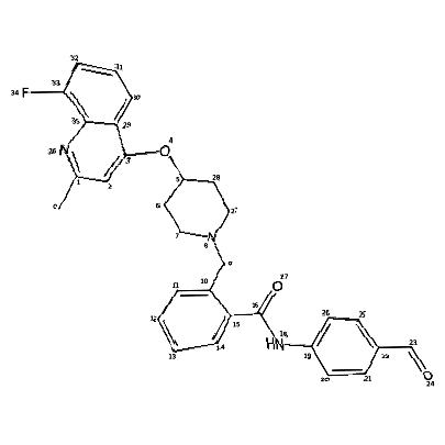 Cc1cc(OC2CCN(Cc3ccccc3C(=O)Nc3ccc(C=O)cc3)CC2)c2cccc(F)c2n1